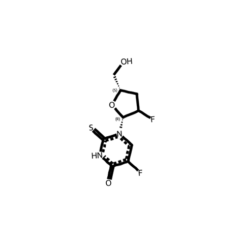 O=c1[nH]c(=S)n([C@@H]2O[C@H](CO)CC2F)cc1F